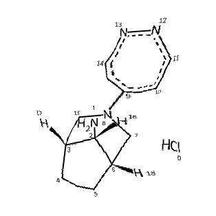 Cl.N[C@H]1[C@@H]2CC[C@H]1CN(c1ccnnc1)C2